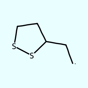 [CH2]CC1CCSS1